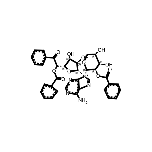 Nc1ncnc2c1N=C[N+]2([C@@H]1O[C@H](C(OC(=O)c2ccccc2)C(=O)c2ccccc2)[C@@H](O)[C@H]1O)[C@@H]1OC[C@@H](O)[C@@H](O)[C@H]1OC(=O)c1ccccc1